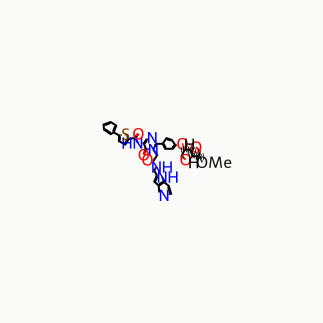 CO[C@@H]1CO[C@H]2[C@@H]1OC[C@H]2Oc1ccc(-c2ncc(NC(=O)c3ccc(-c4ccccc4)s3)c(=O)n2CC(=O)NCc2cc3cnccc3[nH]2)cc1